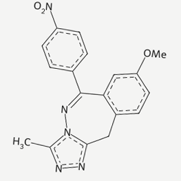 COc1ccc2c(c1)C(c1ccc([N+](=O)[O-])cc1)=Nn1c(C)nnc1C2